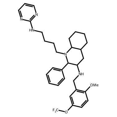 COc1ccc(OC(F)(F)F)cc1CNC1CC2CCCCC2N(CCCCNc2ncccn2)C1c1ccccc1